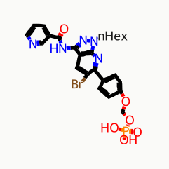 CCCCCCn1nc(NC(=O)c2cccnc2)c2cc(Br)c(-c3ccc(OCOP(=O)(O)O)cc3)nc21